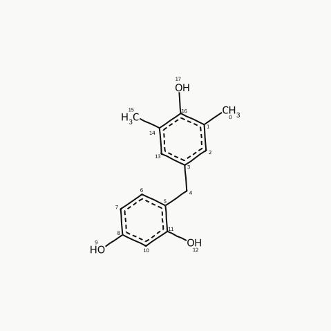 Cc1cc(Cc2ccc(O)cc2O)cc(C)c1O